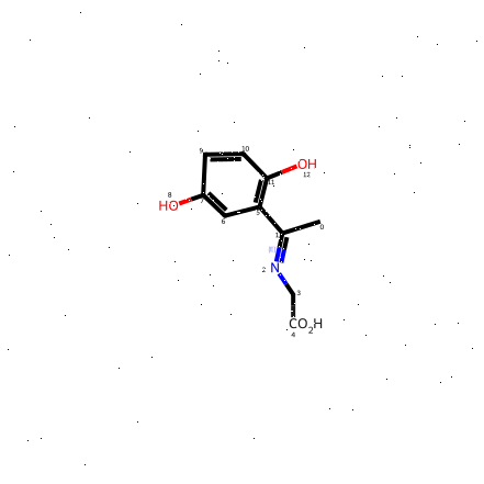 C/C(=N\CC(=O)O)c1cc(O)ccc1O